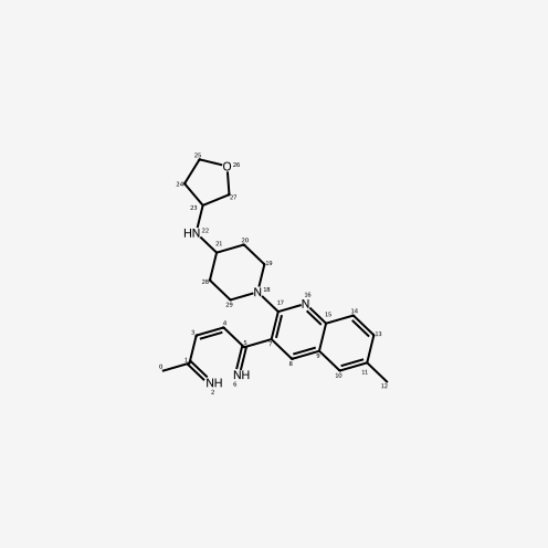 CC(=N)/C=C\C(=N)c1cc2cc(C)ccc2nc1N1CCC(NC2CCOC2)CC1